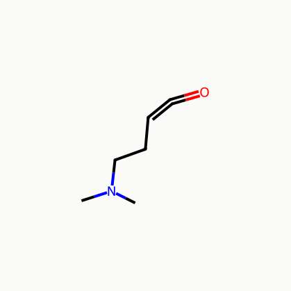 CN(C)CCC=C=O